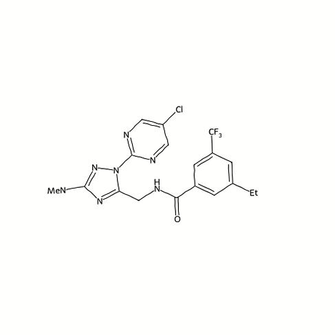 CCc1cc(C(=O)NCc2nc(NC)nn2-c2ncc(Cl)cn2)cc(C(F)(F)F)c1